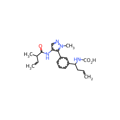 C=CCC(NC(=O)O)c1cccc(-c2c(NC(=O)C(C)C=C)cnn2C)c1